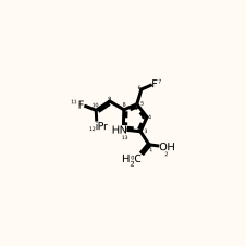 C=C(O)c1cc(CF)c(/C=C(/F)C(C)C)[nH]1